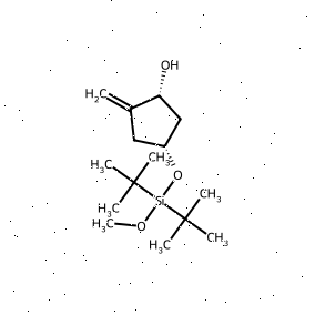 C=C1C[C@@H](O[Si](OC)(C(C)(C)C)C(C)(C)C)C[C@H]1O